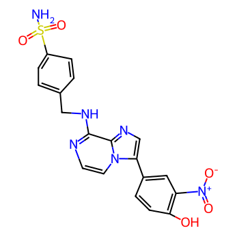 NS(=O)(=O)c1ccc(CNc2nccn3c(-c4ccc(O)c([N+](=O)[O-])c4)cnc23)cc1